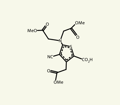 COC(=O)Cc1c(C(=O)O)sc(N(CC(=O)OC)CC(=O)OC)c1C#N